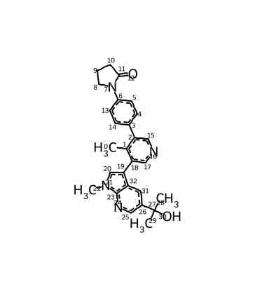 Cc1c(-c2ccc(N3CCCC3=O)cc2)cncc1-c1cn(C)c2ncc(C(C)(C)O)cc12